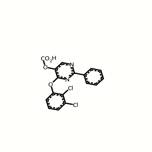 O=C(O)Oc1cnc(-c2ccccc2)nc1Oc1cccc(Cl)c1Cl